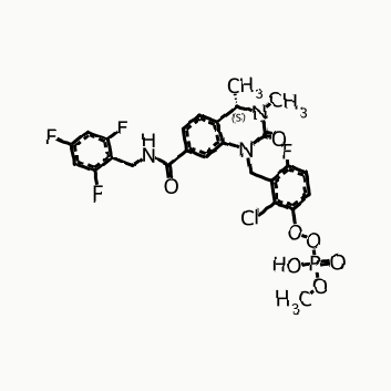 COP(=O)(O)OOc1ccc(F)c(CN2C(=O)N(C)[C@@H](C)c3ccc(C(=O)NCc4c(F)cc(F)cc4F)cc32)c1Cl